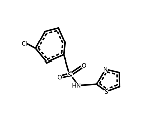 O=S(=O)(Nc1nccs1)c1cccc(Cl)c1